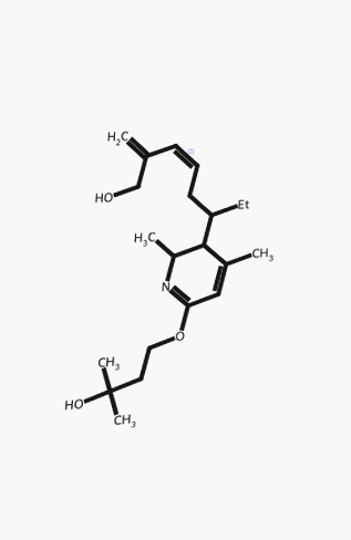 C=C(/C=C\CC(CC)C1C(C)=CC(OCCC(C)(C)O)=NC1C)CO